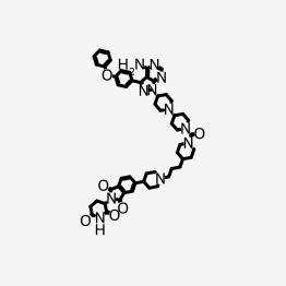 Nc1ncnc2c1c(-c1ccc(Oc3ccccc3)cc1)nn2C1CCN(C2CCN(C(=O)N3CCC(CCCN4CCC(c5ccc6c(c5)C(=O)N(C5CCC(=O)NC5=O)C6=O)CC4)CC3)CC2)CC1